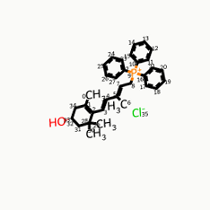 CC1=C(/C=C/C(C)=C/C[P+](c2ccccc2)(c2ccccc2)c2ccccc2)C(C)(C)C[C@H](O)C1.[Cl-]